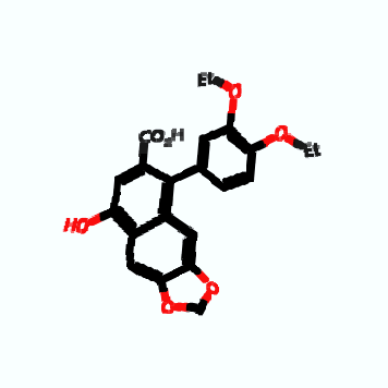 CCOc1ccc(-c2c(C(=O)O)cc(O)c3cc4c(cc23)OCO4)cc1OCC